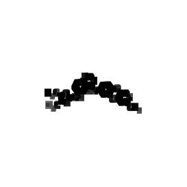 Cc1ccc(Oc2ccc(Nc3ncnc4ccc(NC5=N[C@H](C)[C@H](C)O5)cc34)cc2C)cn1